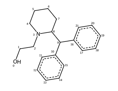 OCCN1CCCCC1C(c1ccccc1)c1ccccc1